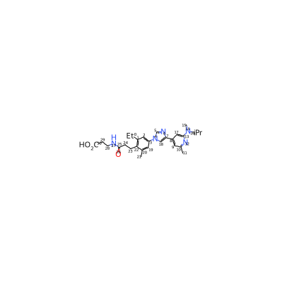 CCc1cc(-n2cnc(-c3cc(C)nc(N(C)C(C)C)c3)c2)cc(C)c1CCC(=O)NCCC(=O)O